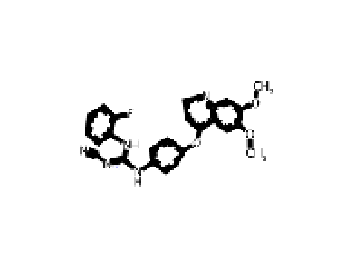 COc1cc2nccc(Oc3ccc(N/C(=N/C#N)Nc4ccccc4F)cc3)c2cc1OC